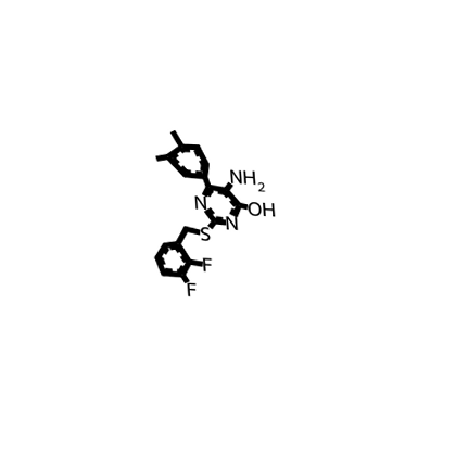 Cc1ccc(-c2nc(SCc3cccc(F)c3F)nc(O)c2N)cc1C